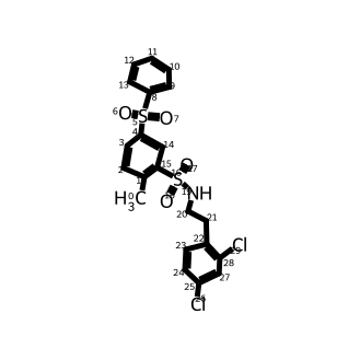 Cc1ccc(S(=O)(=O)c2ccccc2)cc1S(=O)(=O)NCCc1ccc(Cl)cc1Cl